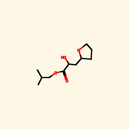 CC(C)COC(=O)C(O)CC1CCCO1